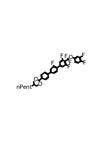 CCCCCC1COC(c2ccc(-c3ccc(-c4cc(F)c(C(F)(F)Oc5ccc(F)c(F)c5)c(F)c4)c(F)c3)cc2)OC1